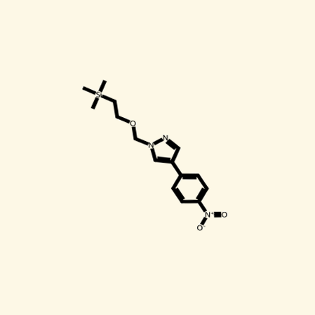 C[Si](C)(C)CCOCn1cc(-c2ccc([N+](=O)[O-])cc2)cn1